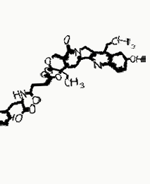 CCc1c2c(nc3ccc(O)cc13)-c1cc3c(c(=O)n1C2)COC(=O)[C@@]3(CC)OC(=O)CCC(=O)NC(Cc1ccccc1)C(=O)O